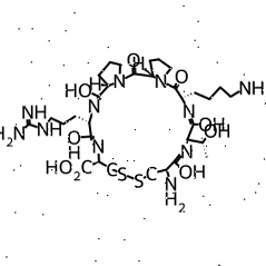 C[C@@H](O)[C@@H]1/N=C(/O)C(N)CSSC[C@@H](C(=O)O)/N=C(\O)[C@H](CCCNC(=N)N)/N=C(\O)[C@@H]2CCCN2C(=O)[C@@H]2CCCN2C(=O)[C@H](CCCCN)/N=C\1O